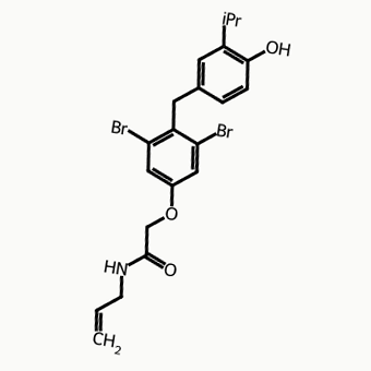 C=CCNC(=O)COc1cc(Br)c(Cc2ccc(O)c(C(C)C)c2)c(Br)c1